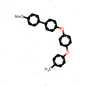 COc1ccc(-c2ccc(Oc3ccc(Oc4ccc(C)cc4)cc3)cc2)cc1